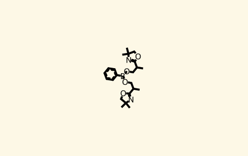 CC(COB(OCC(C)C1=NC(C)(C)CO1)c1ccccc1)C1=NC(C)(C)CO1